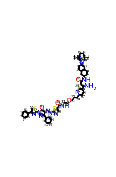 Nc1c(C(=O)N[C@H]2CCc3cc(N4C[C@H]5CC[C@@H](C4)N5)ccc3C2)sc2nc(CCCOCCNC(=O)c3cnc(N/N=C4/C(=O)N(c5nc(-c6ccccc6)cs5)N=C4c4ccccc4)s3)ccc12